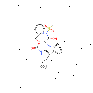 CS(=O)(=O)NC(O)Cn1c(NC(=O)OCc2ccccc2)c(CCC(=O)O)c2ccccc21